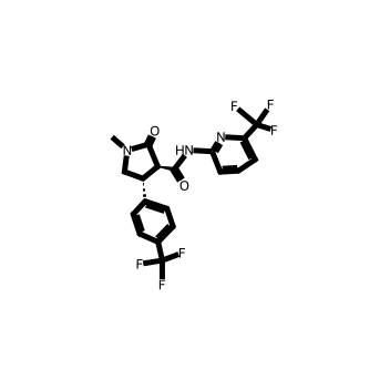 CN1C[C@@H](c2ccc(C(F)(F)F)cc2)[C@H](C(=O)Nc2cccc(C(F)(F)F)n2)C1=O